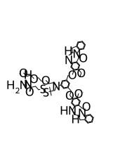 COCCOCCOCCN(CC(C)(C)SSCCC(=O)NN)c1cc(COc2cc3c(cc2OC)C(=O)N2c4ccccc4C[C@H]2C=N3)cc(COc2cc3c(cc2OC)C(=O)N2c4ccccc4C[C@H]2CN3)c1